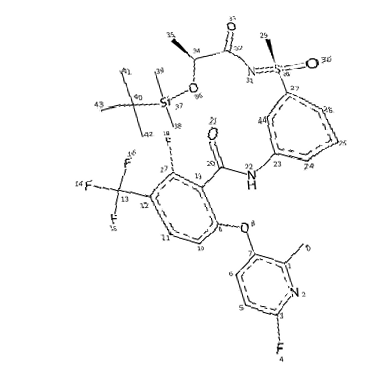 Cc1nc(F)ccc1Oc1ccc(C(F)(F)F)c(F)c1C(=O)Nc1cccc([S@@](C)(=O)=NC(=O)[C@H](C)O[Si](C)(C)C(C)(C)C)c1